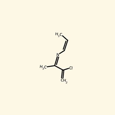 C=C(Cl)/C(C)=N\C=C/C